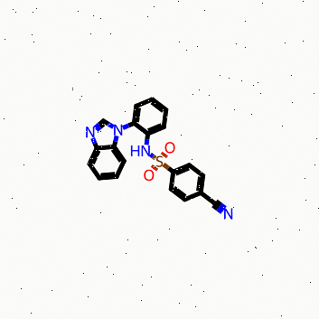 N#Cc1ccc(S(=O)(=O)Nc2ccccc2-n2cnc3ccccc32)cc1